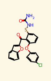 NC(=O)NSc1cccc(Oc2ccc(Cl)cc2)c1C(=O)c1cc2ccccc2o1